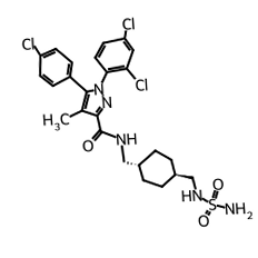 Cc1c(C(=O)NC[C@H]2CC[C@H](CNS(N)(=O)=O)CC2)nn(-c2ccc(Cl)cc2Cl)c1-c1ccc(Cl)cc1